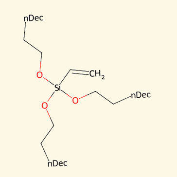 C=C[Si](OCCCCCCCCCCCC)(OCCCCCCCCCCCC)OCCCCCCCCCCCC